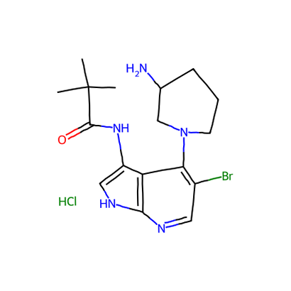 CC(C)(C)C(=O)Nc1c[nH]c2ncc(Br)c(N3CCCC(N)C3)c12.Cl